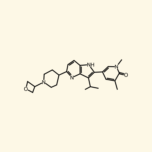 Cc1cc(-c2[nH]c3ccc(C4CCN(C5COC5)CC4)nc3c2C(C)C)cn(C)c1=O